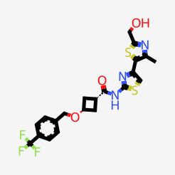 Cc1nc(CO)sc1-c1csc(NC(=O)[C@H]2C[C@@H](OCc3ccc(C(F)(F)F)cc3)C2)n1